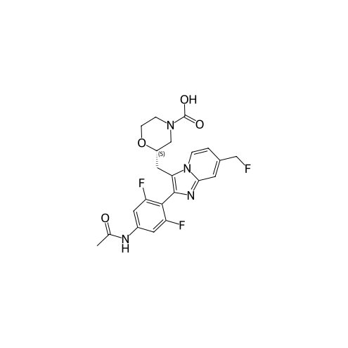 CC(=O)Nc1cc(F)c(-c2nc3cc(CF)ccn3c2C[C@H]2CN(C(=O)O)CCO2)c(F)c1